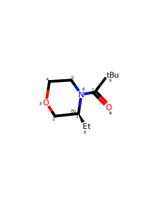 CC[C@H]1COCCN1C(=O)C(C)(C)C